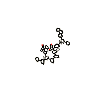 c1ccc(-c2cccc(-c3cc(-c4cccc(-c5cccc(-c6ccc7c(c6)Oc6cc(-c8nc(-c9ccccc9)cc(-c9ccc%10c(ccc%11ccccc%11%10)c9)n8)ccc6C76c7ccccc7-c7ccccc76)c5)c4)nc(-c4ccc5c(c4)Oc4ccccc4C54c5ccccc5-c5ccccc54)n3)c2)cc1